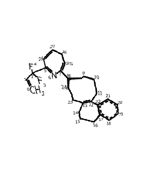 C=CC(F)(F)C1=NC(C2CCCC3=C(CCCc4ccccc43)CC2)=CCC=C1